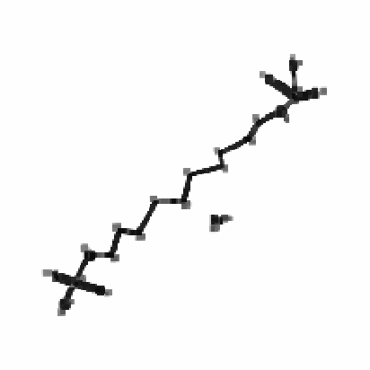 O=S([O-])(=S)OCCCCCCCCCCOS(=O)([O-])=S.[Ba+2]